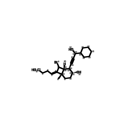 CCC1C(=CCCC(=O)O)[C@@]2(C)CC[C@@H](O)[C@H](C#C[C@@H](O)C3CCCCC3)[C@@H]12